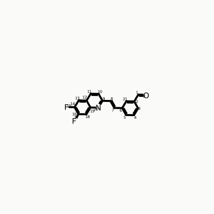 O=Cc1cccc(C=Cc2ccc3cc(F)c(F)cc3n2)c1